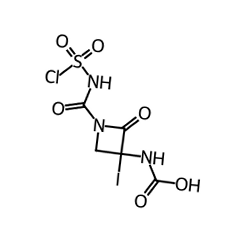 O=C(O)NC1(I)CN(C(=O)NS(=O)(=O)Cl)C1=O